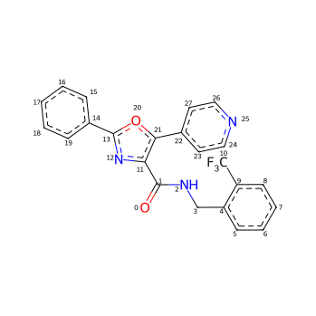 O=C(NCc1ccccc1C(F)(F)F)c1nc(-c2ccccc2)oc1-c1ccncc1